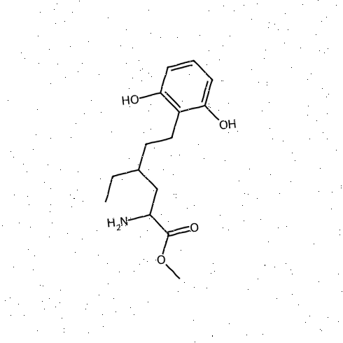 CCC(CCc1c(O)cccc1O)CC(N)C(=O)OC